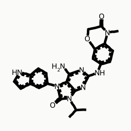 CC(C)n1c(=O)n(-c2ccc3[nH]ccc3c2)c2c(N)nc(Nc3ccc4c(c3)OCC(=O)N4C)nc21